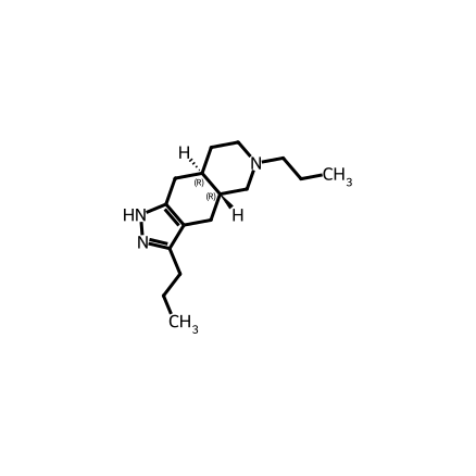 CCCc1n[nH]c2c1C[C@H]1CN(CCC)CC[C@@H]1C2